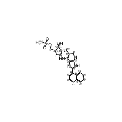 NS(=O)(=O)OC[C@@H]1C[C@@H](Nc2c(Cl)cnc3[nH]c(-c4cccc5ccccc45)nc23)C[C@@H]1O